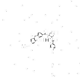 COc1ccc(C(=O)c2ccc(C(=O)NC3CNC[C@H]3NC(=O)c3ccncc3)cc2)c(O)c1